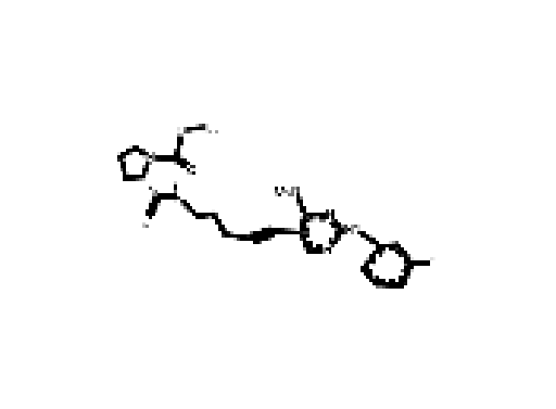 CNc1nc(Nc2cccc(F)c2)ncc1C#CCCCNC(=O)[C@@H]1CCCN1C(=O)OC(C)(C)C